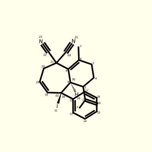 C=C(C)C1CCC(C)=C2[C@@H]1[C@](I)(c1ccccc1)C=CCC2(C#N)C#N